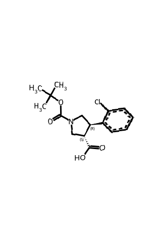 CC(C)(C)OC(=O)N1C[C@@H](C(=O)O)[C@H](c2ccccc2Cl)C1